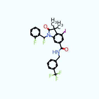 CC1(C)C(=O)N(C(F)c2ccccc2F)c2cc(C(=O)NCc3cccc(C(F)(F)F)c3)cc(I)c21